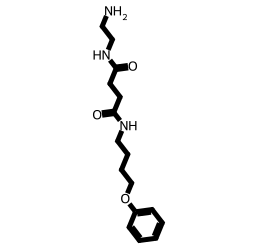 NCCNC(=O)CCC(=O)NCCCCOc1ccccc1